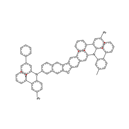 Cc1ccc(-c2ccccc2)c(N(c2ccc3cc4c(cc3c2)oc2cc3cc(N(c5cc(-c6ccccc6)ccc5C)c5ccc(C(C)C)cc5-c5ccccc5)ccc3cc24)c2ccc(C(C)C)cc2-c2ccccc2)c1